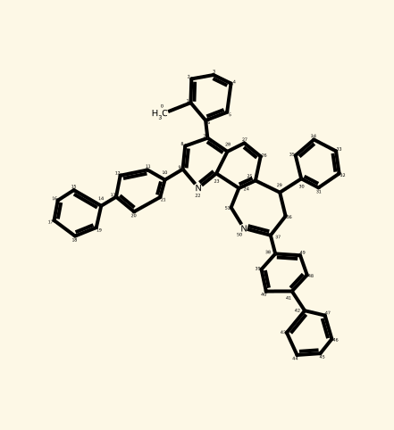 Cc1ccccc1-c1cc(-c2ccc(-c3ccccc3)cc2)nc2c3c(ccc12)C(c1ccccc1)CC(c1ccc(-c2ccccc2)cc1)=NC3